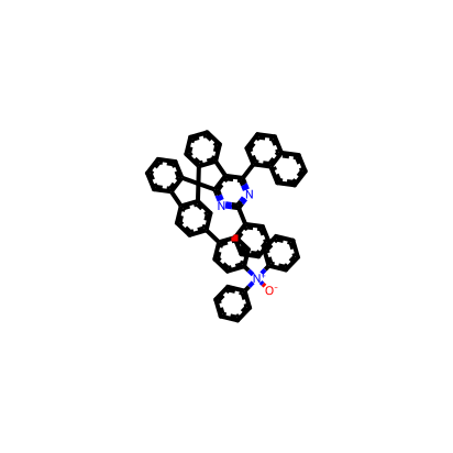 [O-][N+](c1ccccc1)(c1ccccc1)c1ccc(-c2ccc3c(c2)C2(c4ccccc4-3)c3ccccc3-c3c(-c4cccc5ccccc45)nc(-c4ccccc4)nc32)cc1